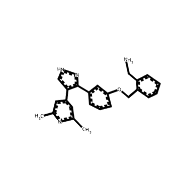 Cc1cc(-c2c[nH]nc2-c2cccc(OCc3ccccc3CN)c2)cc(C)n1